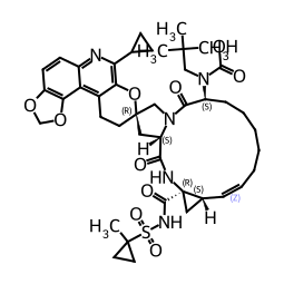 CC(C)(C)CN(C(=O)O)[C@H]1CCCCC/C=C\[C@@H]2C[C@@]2(C(=O)NS(=O)(=O)C2(C)CC2)NC(=O)[C@@H]2C[C@]3(CCc4c(c(C5CC5)nc5ccc6c(c45)OCO6)O3)CN2C1=O